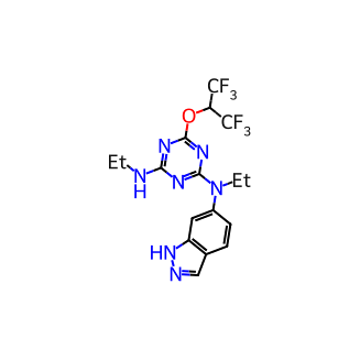 CCNc1nc(OC(C(F)(F)F)C(F)(F)F)nc(N(CC)c2ccc3cn[nH]c3c2)n1